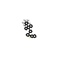 [2H]c1c([2H])c([2H])c(-c2c3ccccc3c(-c3cccc(-c4cccc5sc6cc7ccccc7cc6c45)c3)c3ccccc23)c([2H])c1[2H]